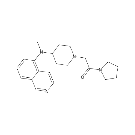 CN(c1cccc2cnccc12)C1CCN(CC(=O)N2CCCC2)CC1